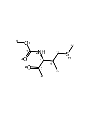 COC(=O)N[C@H](C(C)=O)C(C)CSC